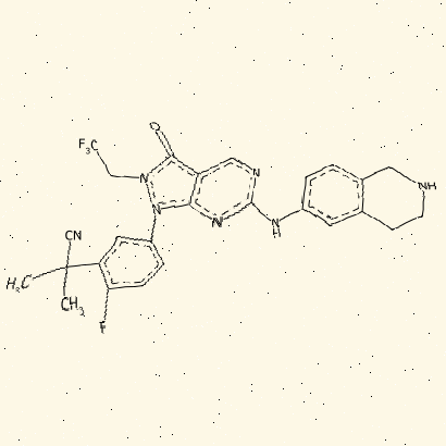 CC(C)(C#N)c1cc(-n2c3nc(Nc4ccc5c(c4)CCNC5)ncc3c(=O)n2CC(F)(F)F)ccc1F